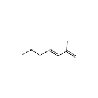 C=C(C)C=CCCI